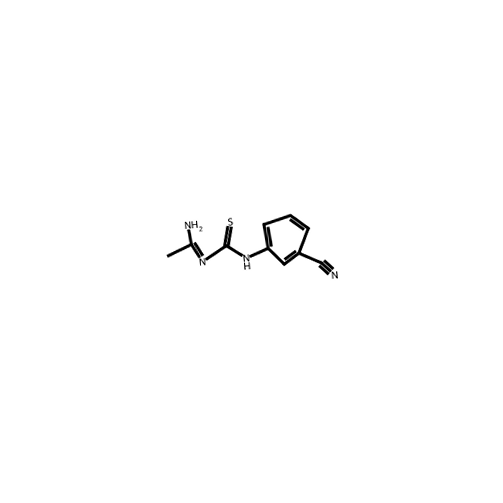 C/C(N)=N/C(=S)Nc1cccc(C#N)c1